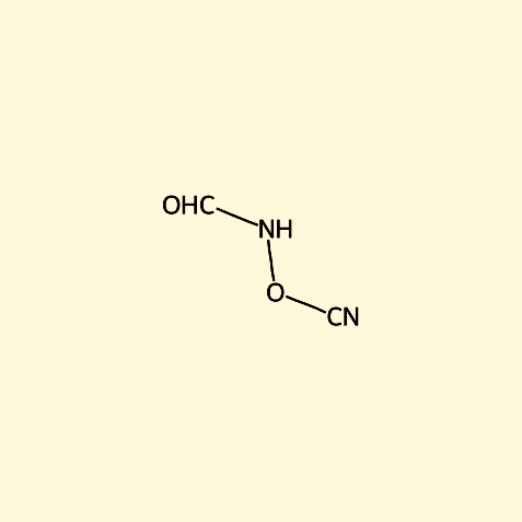 N#CONC=O